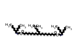 CCCCCC(/C=C\COC(=O)CCCCCCCCCC(CCCCCCCCCC(=O)OC/C=C\C(CCCCC)CCCCC)CCCCN(C)C)CCCCC